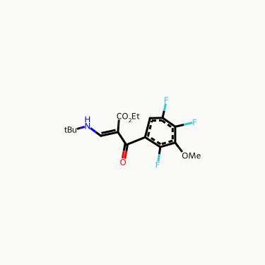 CCOC(=O)/C(=C\NC(C)(C)C)C(=O)c1cc(F)c(F)c(OC)c1F